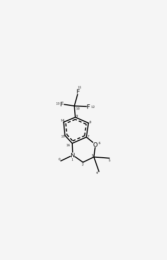 CN1CC(C)(C)Oc2cc(C(F)(F)F)ccc21